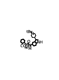 CCOC(=O)c1ccccc1NC(=O)Nc1ccc2[nH]cc(C3CCN(C(C)(C)C)CC3)c2c1